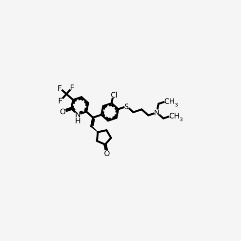 CCN(CC)CCCSc1ccc(/C(=C\[C@H]2CCC(=O)C2)c2ccc(C(F)(F)F)c(=O)[nH]2)cc1Cl